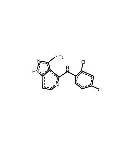 Cc1n[nH]c2ccnc(Nc3ccc(Cl)cc3Cl)c12